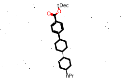 CCCCCCCCCCOC(=O)c1ccc(C2CCC([C@H]3CC[C@H](CCC)CC3)CC2)cc1